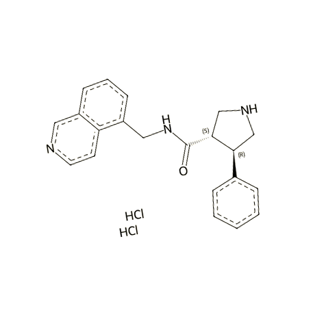 Cl.Cl.O=C(NCc1cccc2cnccc12)[C@@H]1CNC[C@H]1c1ccccc1